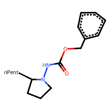 CCCCCC1CCCN1NC(=O)OCc1ccccc1